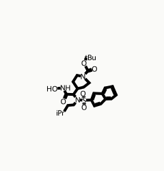 CC(C)CCN(C(C(=O)NO)C1CCN(C(=O)OC(C)(C)C)CC1)S(=O)(=O)c1ccc2ccccc2c1